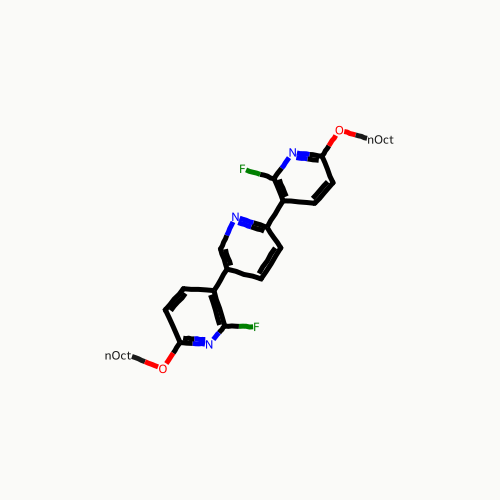 CCCCCCCCOc1ccc(-c2ccc(-c3ccc(OCCCCCCCC)nc3F)nc2)c(F)n1